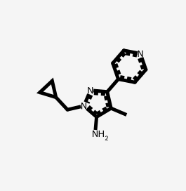 Cc1c(-c2ccncc2)nn(CC2CC2)c1N